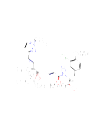 COC(=O)[C@@H](Cc1ccc(OC)c(Cl)c1)NC(=O)/C=C/C[C@H](O[Si](C)(C)C(C)(C)C)[C@H](C)/C=C/c1ccn(C)n1